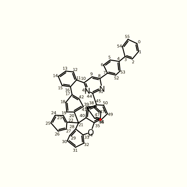 c1ccc(-c2ccc(-c3cc(-c4ccccc4-c4ccc(C5(c6ccccc6)c6ccccc6Oc6ccccc65)cc4)nc(-c4ccccc4)n3)cc2)cc1